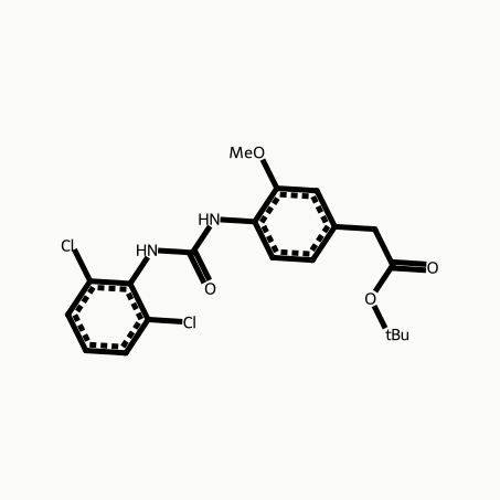 COc1cc(CC(=O)OC(C)(C)C)ccc1NC(=O)Nc1c(Cl)cccc1Cl